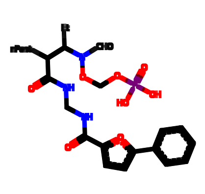 CCCCCC(C(=O)NCNC(=O)c1ccc(-c2ccccc2)o1)C(CC)N(C=O)OCOP(=O)(O)O